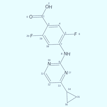 O=C(O)c1cc(F)c(Nc2nccc(C3CC3)n2)cc1F